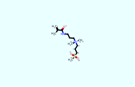 C=C(C)C(=O)NCCC[N+](C)(C)CCCS(C)(=O)=O